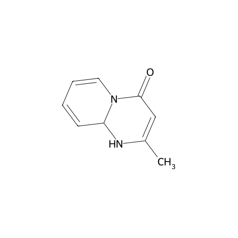 CC1=CC(=O)N2C=CC=CC2N1